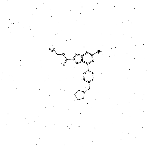 CCOC(=O)c1cc2c(-c3ccc(CN4CCCC4)cc3)nc(N)nc2s1